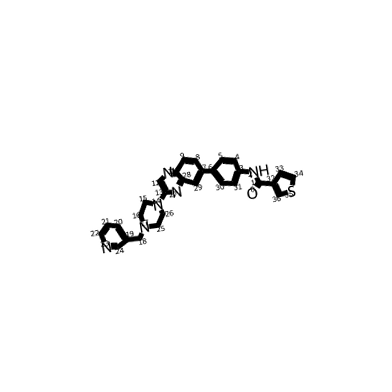 O=C(Nc1ccc(-c2ccc3ncc(N4CCN(Cc5cccnc5)CC4)nc3c2)cc1)c1ccsc1